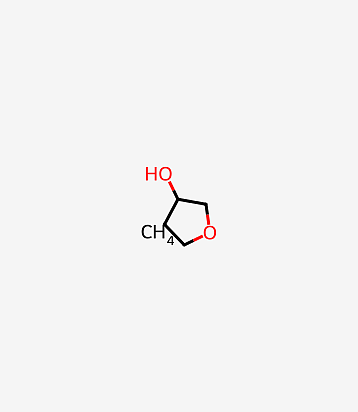 C.OC1CCOC1